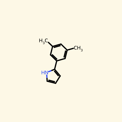 Cc1cc(C)cc(-c2ccc[nH]2)c1